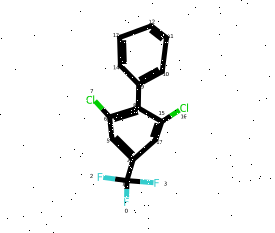 FC(F)(F)c1cc(Cl)c(-c2ccccc2)c(Cl)c1